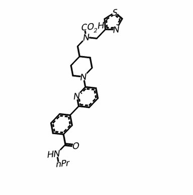 CCCNC(=O)c1cccc(-c2cccc(N3CCC(CN(Cc4cscn4)C(=O)O)CC3)n2)c1